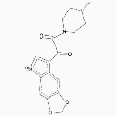 CN1CCN(C(=O)C(=O)c2c[nH]c3cc4c(cc23)OCO4)CC1